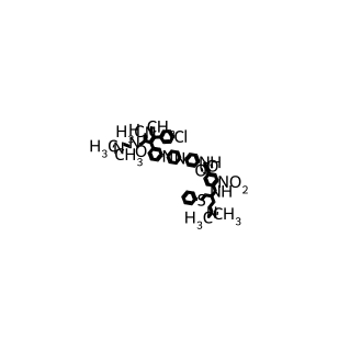 Cc1c(C(=O)NCCN(C)C)c(-c2cccc(N3CCN(c4ccc(NS(=O)(=O)c5ccc(NC(CCN(C)C)CSc6ccccc6)c([N+](=O)[O-])c5)cc4)CC3)c2)c(-c2ccc(Cl)cc2)n1C